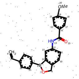 C=Cc1ccc(B2OCc3ccc(NC(=O)c4ccc(OC)cc4)cc32)cc1